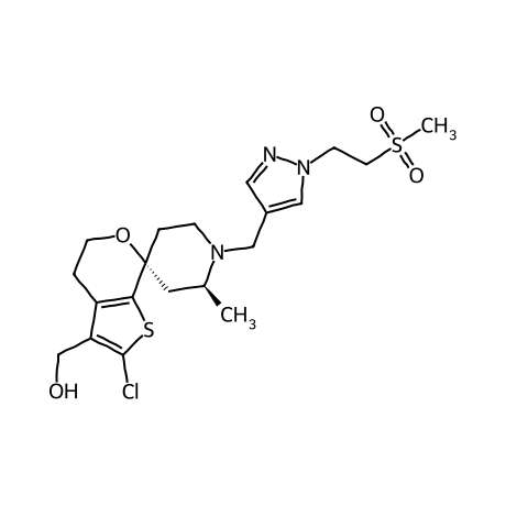 C[C@H]1C[C@@]2(CCN1Cc1cnn(CCS(C)(=O)=O)c1)OCCc1c2sc(Cl)c1CO